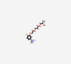 CCNc1ccc(F)c(OCCOCCCOCC(=O)CC)c1